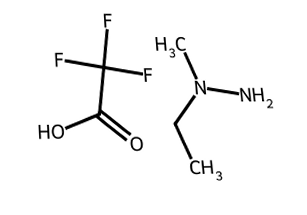 CCN(C)N.O=C(O)C(F)(F)F